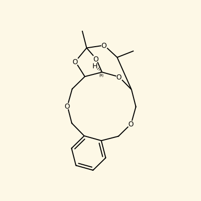 CC1OC2(C)OC3COCc4ccccc4COCC1O[C@@H]3O2